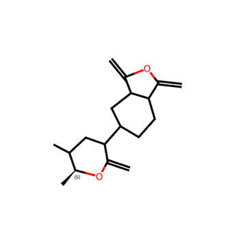 C=C1O[C@@H](C)C(C)CC1C1CCC2C(=C)OC(=C)C2C1